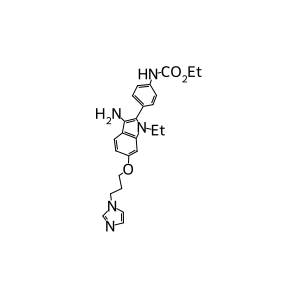 CCOC(=O)Nc1ccc(-c2c(N)c3ccc(OCCCn4ccnc4)cc3n2CC)cc1